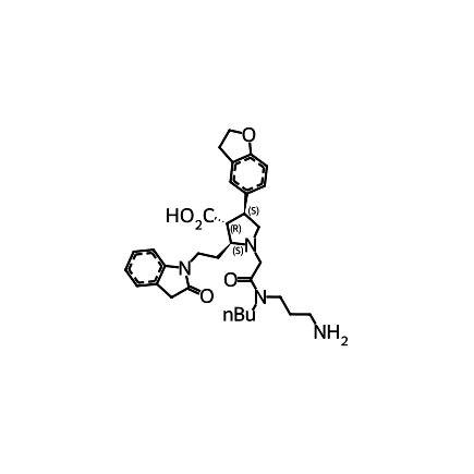 CCCCN(CCCN)C(=O)CN1C[C@H](c2ccc3c(c2)CCO3)[C@@H](C(=O)O)[C@@H]1CCN1C(=O)Cc2ccccc21